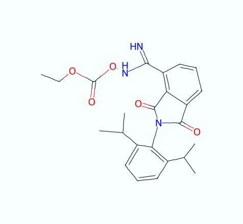 CCOC(=O)ONC(=N)c1cccc2c1C(=O)N(c1c(C(C)C)cccc1C(C)C)C2=O